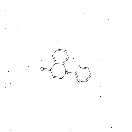 O=c1ccn(-c2ncccn2)c2ccccc12